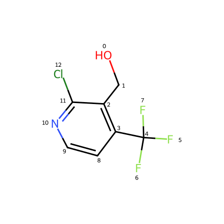 OCc1c(C(F)(F)F)ccnc1Cl